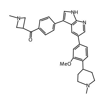 COc1cc(-c2cnc3[nH]cc(-c4ccc(C(=O)C5CN(C)C5)cc4)c3c2)ccc1C1CCN(C)CC1